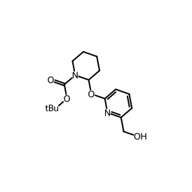 CC(C)(C)OC(=O)N1CCCCC1Oc1cccc(CO)n1